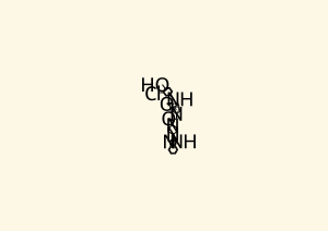 O=C(Nc1ccc(O)c(Cl)c1)[C@@H]1CCN(CC(=O)N2CCN(c3nc4ccccc4[nH]3)CC2)C1